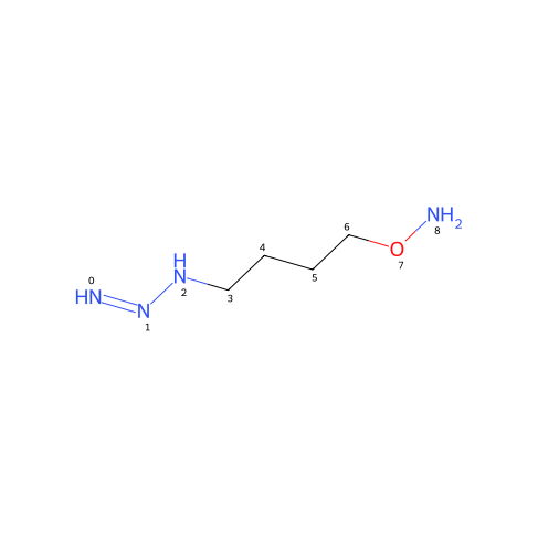 N=NNCCCCON